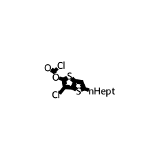 CCCCCCCc1cc2sc(OC(=O)Cl)c(Cl)c2s1